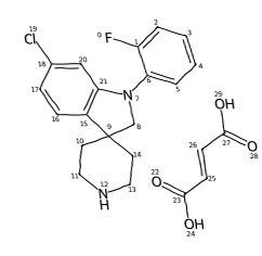 Fc1ccccc1N1CC2(CCNCC2)c2ccc(Cl)cc21.O=C(O)C=CC(=O)O